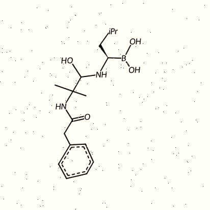 CC(C)C[C@H](NC(O)C(C)(C)NC(=O)Cc1ccccc1)B(O)O